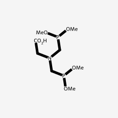 COP(CN(CC(=O)O)CP(OC)OC)OC